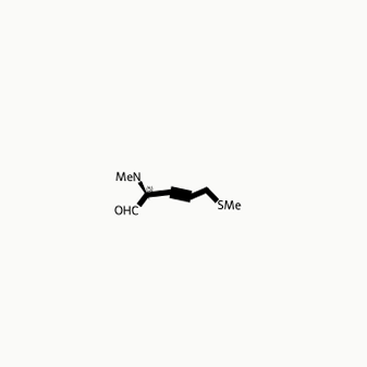 CN[C@@H](C#CCSC)C=O